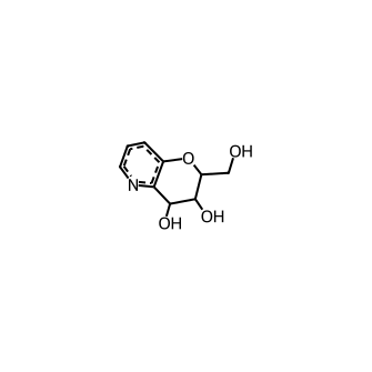 OCC1Oc2cccnc2C(O)C1O